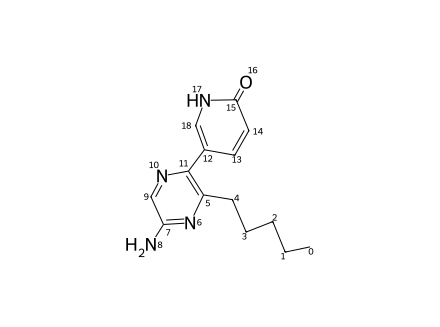 CCCCCc1nc(N)cnc1-c1ccc(=O)[nH]c1